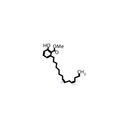 C=CC/C=C\C/C=C\CCCCCCCc1cccc(O)c1C(=O)OC